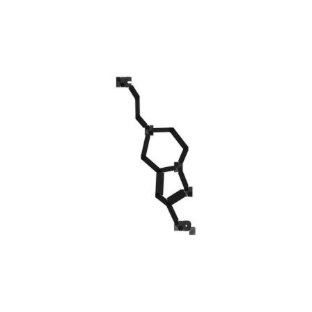 N#CCCN1CCn2nc([N+](=O)[O-])cc2C1